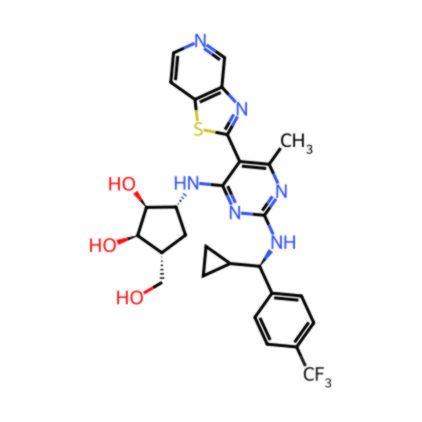 Cc1nc(N[C@@H](c2ccc(C(F)(F)F)cc2)C2CC2)nc(N[C@@H]2C[C@H](CO)[C@@H](O)[C@H]2O)c1-c1nc2cnccc2s1